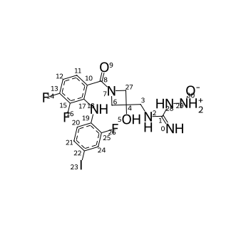 N=C(NCC1(O)CN(C(=O)c2ccc(F)c(F)c2Nc2ccc(I)cc2F)C1)N[NH2+][O-]